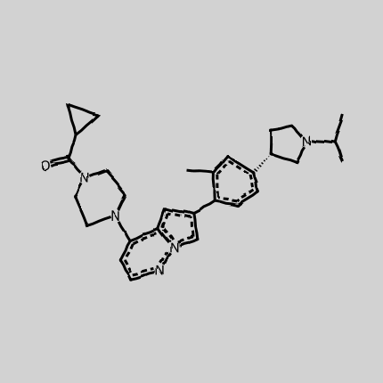 Cc1cc([C@@H]2CCN(C(C)C)C2)ccc1-c1cc2c(N3CCN(C(=O)C4CC4)CC3)ccnn2c1